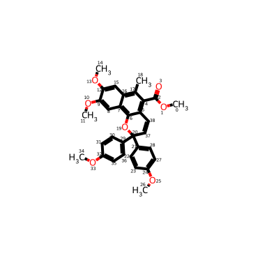 COC(=O)c1c2c(c3cc(OC)c(OC)cc3c1C)OC(c1ccc(OC)cc1)(c1ccc(OC)cc1)C=C2